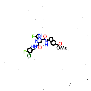 COC(=O)c1ccc2c(c1)CC[C@@H]2NC(=O)c1cc(C(=O)NCc2ccc(F)c(Cl)c2)nc2c(F)cnn12